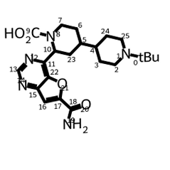 CC(C)(C)N1CCC(C2CCN(C(=O)O)C(c3ncnc4cc(C(N)=O)oc34)C2)CC1